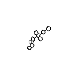 C1=CCC(c2ccc(-c3c4ccccc4c(-c4ccc5oc6c7ccccc7ccc6c5c4)c4ccccc34)cc2)C=C1